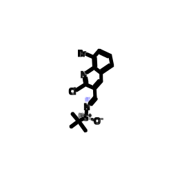 CC(C)(C)[S@@+]([O-])/N=C/c1cc2cccc(Br)c2nc1Cl